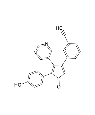 C#Cc1cccc(C2=CC(=O)C(c3ccc(O)cc3)=C2c2cncnc2)c1